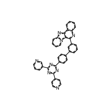 c1cncc(-c2nc(-c3ccncc3)nc(-c3ccc(-c4cccc(-c5nc6ccccc6c6nc7ccccn7c56)c4)cc3)n2)c1